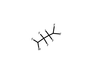 F[C](Br)C(F)(F)C(F)(I)[C](F)F